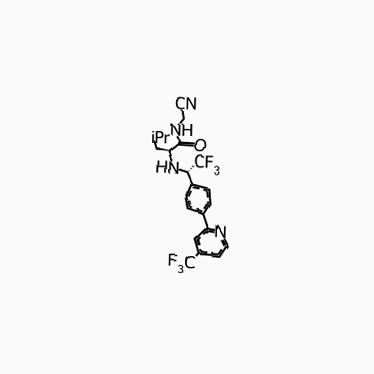 CC(C)C[C@H](N[C@@H](c1ccc(-c2cc(C(F)(F)F)ccn2)cc1)C(F)(F)F)C(=O)NCC#N